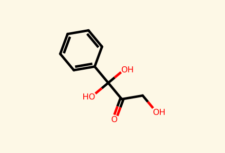 O=C(CO)C(O)(O)c1ccccc1